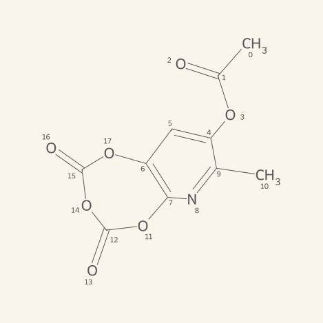 CC(=O)Oc1cc2c(nc1C)OC(=O)OC(=O)O2